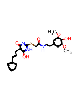 COc1cc(CCNC(=O)CSc2nc(=O)c(CC=Cc3ccccc3)c(O)[nH]2)cc(OC)c1O